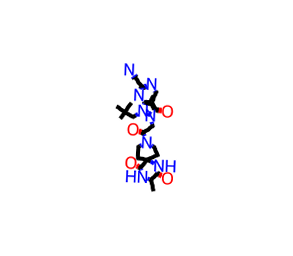 CC1NC(=O)C2(CCN(C(=O)Cn3c(=O)c4cnc(C#N)nc4n3CC(C)(C)C)CC2)NC1=O